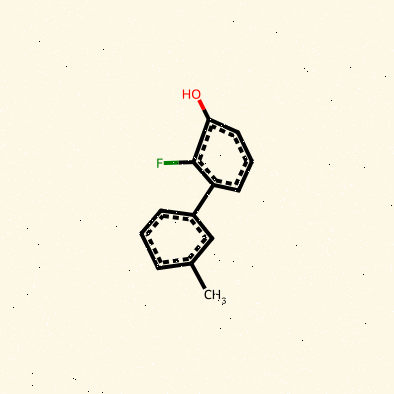 Cc1cccc(-c2cccc(O)c2F)c1